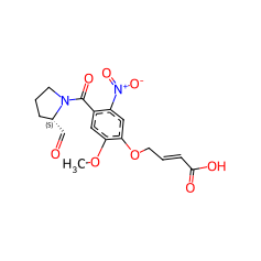 COc1cc(C(=O)N2CCC[C@H]2C=O)c([N+](=O)[O-])cc1OCC=CC(=O)O